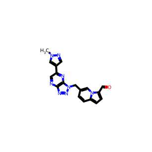 Cn1cc(-c2cnc3nnn(Cc4ccc5ccc(C=O)n5c4)c3n2)cn1